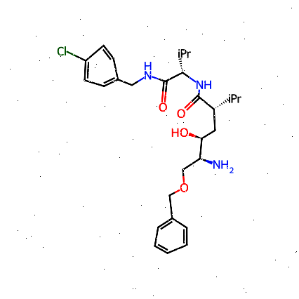 CC(C)[C@H](C[C@H](O)[C@@H](N)COCc1ccccc1)C(=O)N[C@H](C(=O)NCc1ccc(Cl)cc1)C(C)C